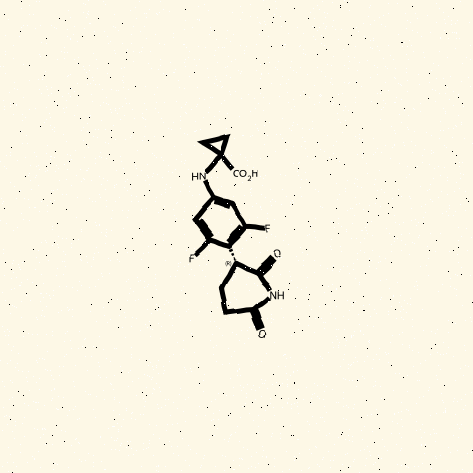 O=C1CC[C@H](c2c(F)cc(NC3(C(=O)O)CC3)cc2F)C(=O)N1